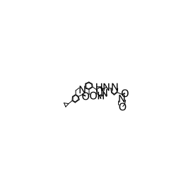 C=C1C=C(c2cccc(N3CCc4cc(C5CC5)ccc4C3=O)c2CO)C=C(Nc2ccc(C(=O)N3CCOCC3)cn2)N1C